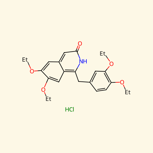 CCOc1ccc(Cc2[nH]c(=O)cc3cc(OCC)c(OCC)cc23)cc1OCC.Cl